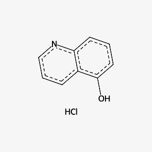 Cl.Oc1cccc2ncccc12